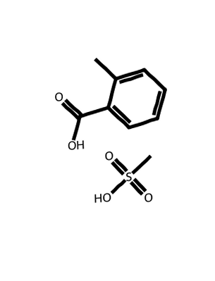 CS(=O)(=O)O.Cc1ccccc1C(=O)O